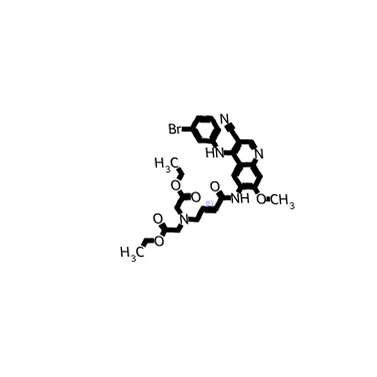 CCOC(=O)CN(C/C=C/C(=O)Nc1cc2c(Nc3cccc(Br)c3)c(C#N)cnc2cc1OC)CC(=O)OCC